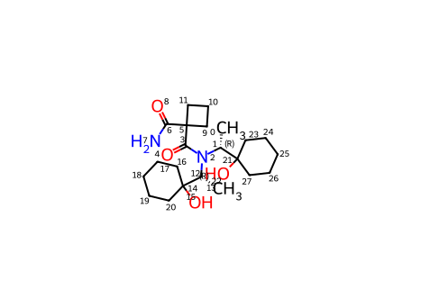 C[C@@H](N(C(=O)C1(C(N)=O)CCC1)[C@H](C)C1(O)CCCCC1)C1(O)CCCCC1